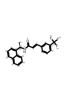 C[C@@H](NC(=O)C=Cc1cccc(C(F)(F)F)c1)c1cccc2ccccc12